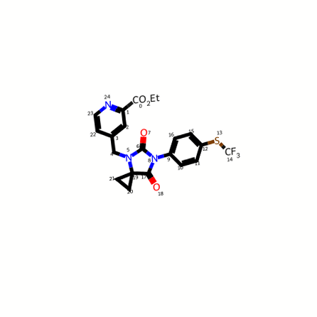 CCOC(=O)c1cc(CN2C(=O)N(c3ccc(SC(F)(F)F)cc3)C(=O)C23CC3)ccn1